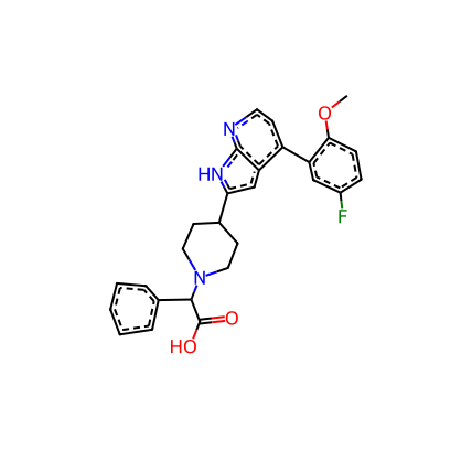 COc1ccc(F)cc1-c1ccnc2[nH]c(C3CCN(C(C(=O)O)c4ccccc4)CC3)cc12